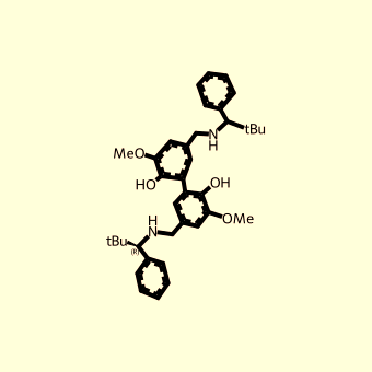 COc1cc(CNC(c2ccccc2)C(C)(C)C)cc(-c2cc(CN[C@@H](c3ccccc3)C(C)(C)C)cc(OC)c2O)c1O